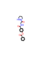 O=C(NCC(=O)N1CCCCN1)c1ccc(OC(=O)c2ccccc2)cc1